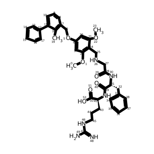 COc1cc(OCc2cccc(-c3ccccc3)c2C)cc(OC)c1CNCC(=O)N[C@H](Cc1ccccc1)C(=O)N[C@@H](CCCNC(=N)N)C(=O)O